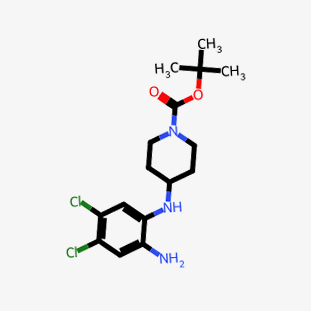 CC(C)(C)OC(=O)N1CCC(Nc2cc(Cl)c(Cl)cc2N)CC1